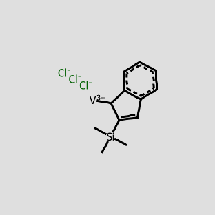 C[Si](C)(C)C1=Cc2ccccc2[CH]1[V+3].[Cl-].[Cl-].[Cl-]